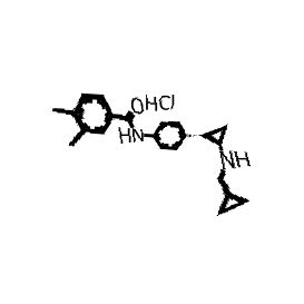 Cc1ccc(C(=O)Nc2ccc([C@@H]3C[C@H]3NCC3CC3)cc2)cc1C.Cl